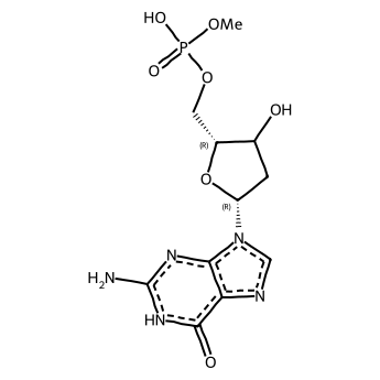 COP(=O)(O)OC[C@H]1O[C@@H](n2cnc3c(=O)[nH]c(N)nc32)CC1O